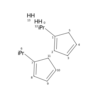 CC(C)C1=CC=CC1.CC(C)C1=CC=CC1.[HH].[HH]